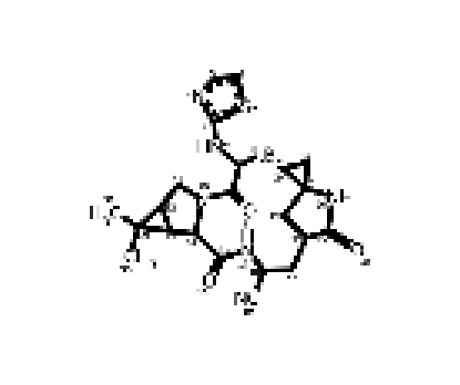 CC(C)(C)C(Nc1nccs1)C(=O)N1CC2C(C1C(=O)NC(C#N)CC1CC3(CC3)NC1=O)C2(C)C